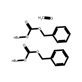 C=O.CCCCOC(=O)OCc1ccccc1.CCCCOC(=O)OCc1ccccc1